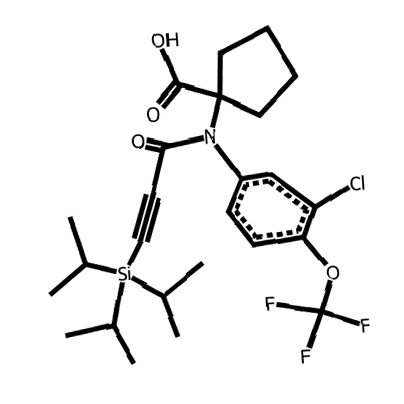 CC(C)[Si](C#CC(=O)N(c1ccc(OC(F)(F)F)c(Cl)c1)C1(C(=O)O)CCCC1)(C(C)C)C(C)C